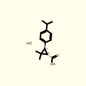 CC(C)c1ccc([C@H]2[C@H](C(=O)O)C2(C)C)cc1.Cl